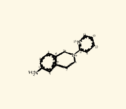 Nc1ccc2c(c1)CCN(c1ccccn1)C2